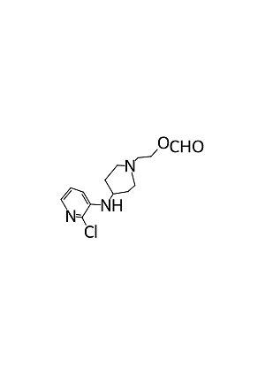 O=COCCN1CCC(Nc2cccnc2Cl)CC1